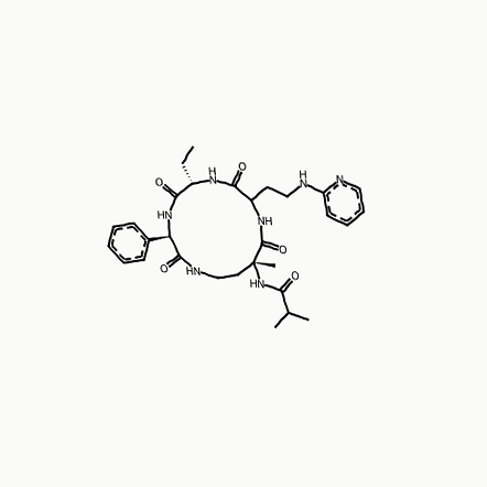 CC[C@@H]1NC(=O)C(CCNc2ccccn2)NC(=O)[C@](C)(NC(=O)C(C)C)CCNC(=O)[C@@H](c2ccccc2)NC1=O